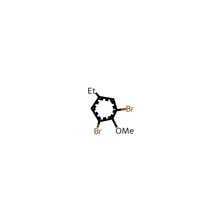 CCc1cc(Br)c(OC)c(Br)c1